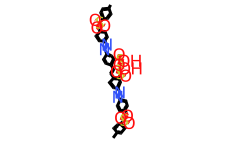 Cc1ccc(S(=O)(=O)Oc2ccc(/N=N/c3ccc(/C=C/c4ccc(/N=N/c5ccc(OS(=O)(=O)c6ccc(C)cc6)cc5)cc4S(=O)(=O)O)c(S(=O)(=O)O)c3)cc2)cc1